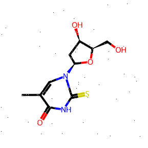 Cc1cn([C@H]2C[C@@H](O)[C@@H](CO)O2)c(=S)[nH]c1=O